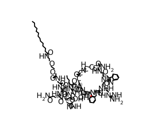 CCCCCCCCCCCCCC(=O)NCCOCCOCC(=O)NCC(=O)N[C@@H](CO)C(=O)N[C@@H](CCC(N)=O)C(=O)N[C@@H](Cc1c[nH]cn1)C(=O)NC(CO)C(=O)N[C@@H](CCCC)C(=O)N[C@H]1CCC(=O)CNCCCC[C@@H](C(N)=O)NC(=O)[C@H](Cc2c[nH]c3ccccc23)NC(=O)[C@H](CCCNC(=N)N)NC(=O)[C@@H](Cc2ccccc2)NC(=O)[C@@H]2C[C@@H](O)CN2C1=O